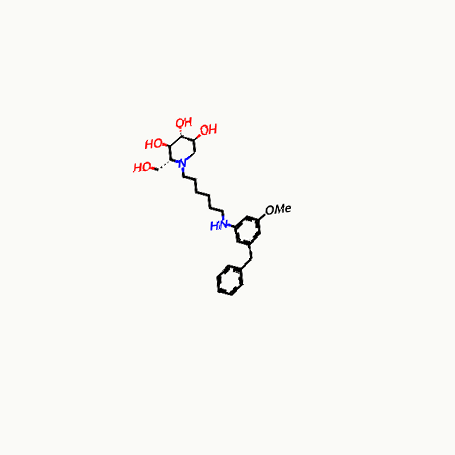 COc1cc(Cc2ccccc2)cc(NCCCCCCN2C[C@H](O)[C@@H](O)[C@H](O)[C@H]2CO)c1